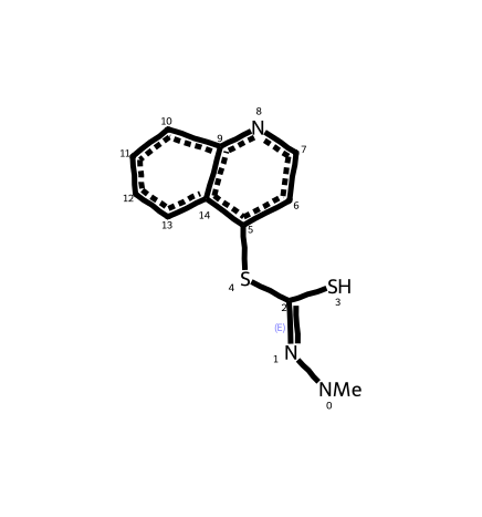 CN/N=C(\S)Sc1ccnc2ccccc12